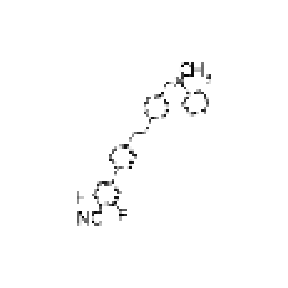 C[C@@H](Cc1ccc(CCc2ccc(-c3cc(F)c(C#N)c(F)c3)cc2)cc1)c1ccccc1